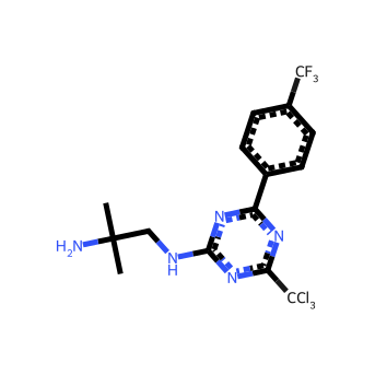 CC(C)(N)CNc1nc(-c2ccc(C(F)(F)F)cc2)nc(C(Cl)(Cl)Cl)n1